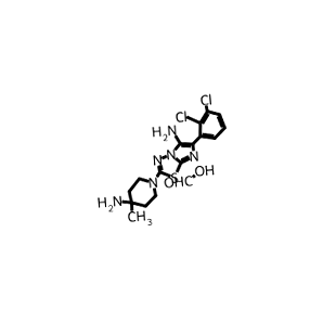 CC1(N)CCN(c2nn3c(N)c(-c4cccc(Cl)c4Cl)nc3s2)CC1.O=CO